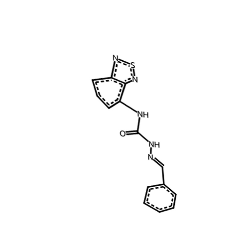 O=C(N/N=C/c1ccccc1)Nc1cccc2nsnc12